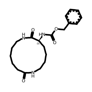 O=C1CCCCCNC(=O)[C@@H](NC(=O)OCc2ccccc2)CCCCN1